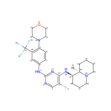 Fc1cnc(Nc2ccc(N3CCOCC3)c(C(F)(F)F)c2)nc1N[C@@H]1CCCN2CCCC[C@H]12